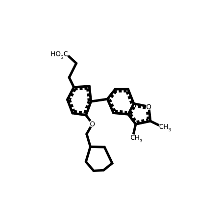 Cc1oc2ccc(-c3cc(CCC(=O)O)ccc3OCC3CCCCC3)cc2c1C